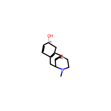 CN1CC[C@]23CCCCC2C1CC1=C3C[C@@H](O)C=C1